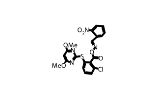 COc1cc(OC)nc(Sc2cccc(Cl)c2C(=O)O/N=C/c2ccccc2[N+](=O)[O-])n1